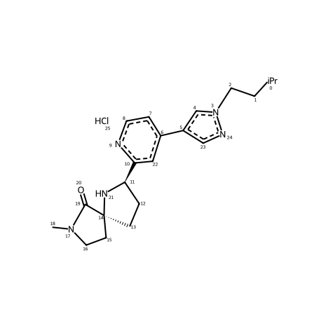 CC(C)CCn1cc(-c2ccnc([C@H]3CC[C@@]4(CCN(C)C4=O)N3)c2)cn1.Cl